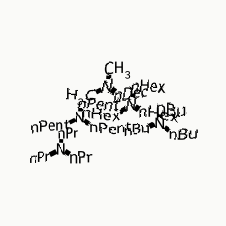 CCCCCCCCCCN(C)C.CCCCCCN(CCCCCC)CCCCCC.CCCCCN(CCCCC)CCCCC.CCCCN(CCCC)CCCC.CCCN(CCC)CCC